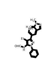 C=c1/c(=C\C(=C/CCC)c2nn(-c3ccccc3)c(NC=O)c2CC)cnn1C